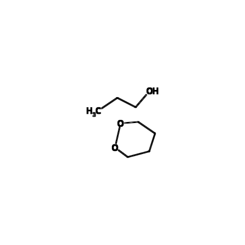 C1CCOOC1.CCCO